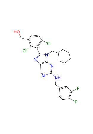 OCc1ccc(Cl)c(-c2nc3cnc(NCc4ccc(F)c(F)c4)nc3n2CC2CCCCC2)c1Cl